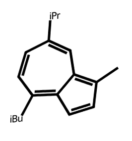 [CH2]CC(C)c1ccc(C(C)C)cc2c(C)ccc1-2